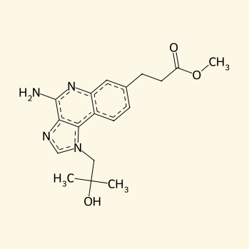 COC(=O)CCc1ccc2c(c1)nc(N)c1ncn(CC(C)(C)O)c12